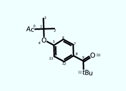 CC(=O)C(C)(C)Oc1ccc(C(=O)C(C)(C)C)cc1